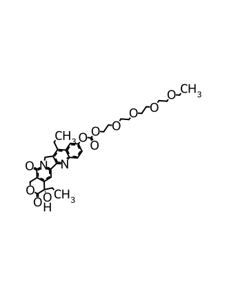 CCOCCOCCOCCOCCOC(=O)Oc1ccc2nc3c(c(CC)c2c1)Cn1c-3cc2c(c1=O)COC(=O)[C@]2(O)CC